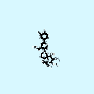 CC(C)C(C)C(O)C1(OC(N)=O)CCCN(c2cnc(-c3ccc(F)c(F)c3)cc2CO)C1